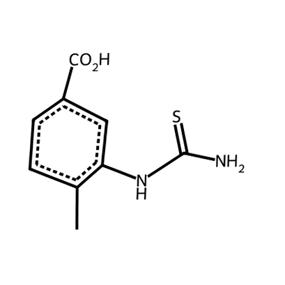 Cc1ccc(C(=O)O)cc1NC(N)=S